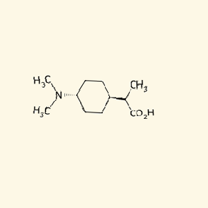 CC(C(=O)O)[C@H]1CC[C@H](N(C)C)CC1